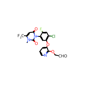 Cn1c(C(F)(F)F)cc(=O)n(-c2cc(Oc3cccnc3OCC=O)c(Cl)cc2F)c1=O